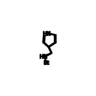 CCNCC1C=CNC=C1